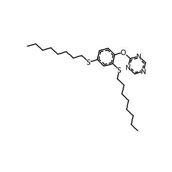 CCCCCCCCSc1ccc(Oc2ncncn2)c(SCCCCCCCC)c1